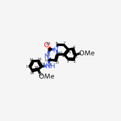 COc1ccc2c(c1)CCn1c-2cc(Nc2ccccc2OC)nc1=O